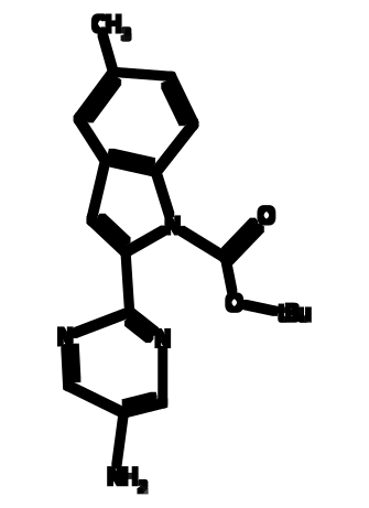 Cc1ccc2c(c1)cc(-c1ncc(N)cn1)n2C(=O)OC(C)(C)C